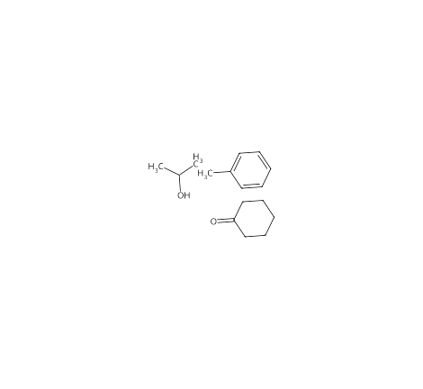 CC(C)O.Cc1ccccc1.O=C1CCCCC1